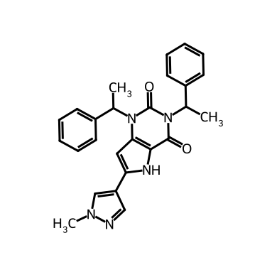 CC(c1ccccc1)n1c(=O)c2[nH]c(-c3cnn(C)c3)cc2n(C(C)c2ccccc2)c1=O